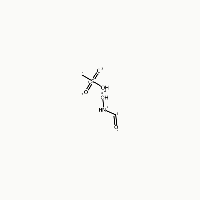 CS(=O)(=O)O.O=CNO